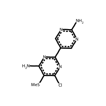 CSc1c(N)nc(-c2cnc(N)nc2)nc1Cl